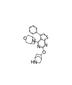 c1ccc(-c2csc3nc(OC4CC5CC4CN5)nc(N4C5CCC4COC5)c23)cc1